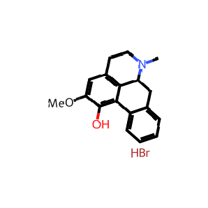 Br.COc1cc2c3c(c1O)-c1ccccc1CC3N(C)CC2